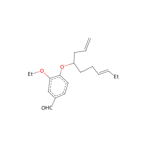 C=CCC(CCC=CCC)Oc1ccc(C=O)cc1OCC